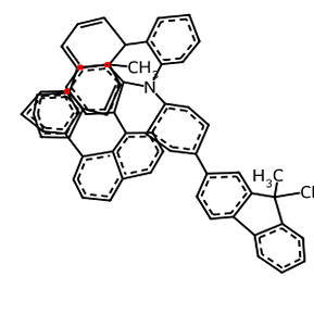 CC1(C)c2ccccc2-c2ccc(-c3ccc(N(c4ccccc4-c4cccc5cccc(-c6ccccc6)c45)c4ccccc4C4C=CC=C5c6ccccc6C=CC54C)cc3)cc21